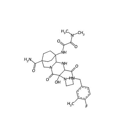 Cc1cc(CNC(=O)C2NC3N(CC4(C(N)=O)CCC3(NC(=O)C(=O)N(C)C)CC4)C(=O)C2(O)N2CCC2)ccc1F